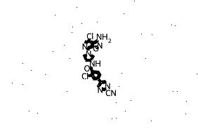 N#Cc1ncc(-c2ccc(C(=O)NC3CCN(c4ncc(Cl)c5c(N)noc45)C3)c(Cl)c2)cn1